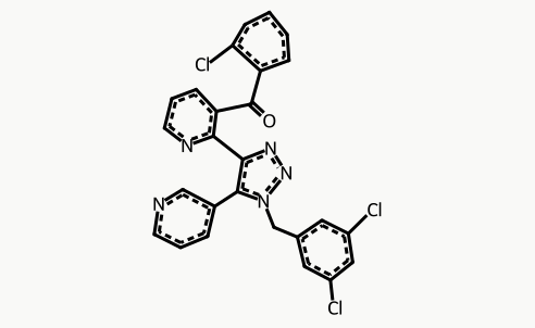 O=C(c1ccccc1Cl)c1cccnc1-c1nnn(Cc2cc(Cl)cc(Cl)c2)c1-c1cccnc1